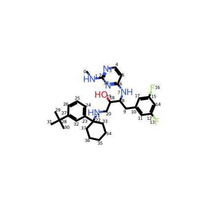 CNc1nccc(NC(Cc2cc(F)cc(F)c2)C(O)CNC2(c3cccc(C(C)(C)C)c3)CCCCC2)n1